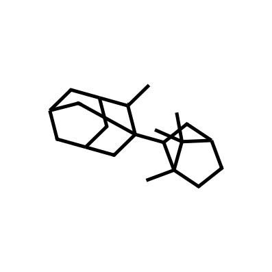 C[C]1C2CC3CC(C2)CC1(C1CC2CCC1(C)C2(C)C)C3